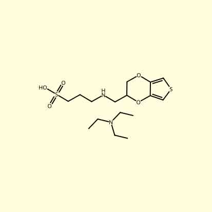 CCN(CC)CC.O=S(=O)(O)CCCNCC1COc2cscc2O1